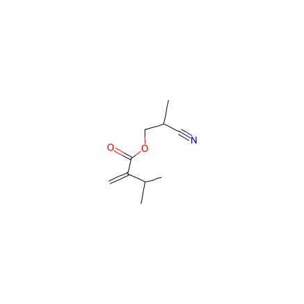 C=C(C(=O)OCC(C)C#N)C(C)C